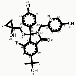 CC(C)(O)c1cc(F)c2c(c1)C(=O)N(Cc1ccc(C#N)cn1)[C@@]2(OCC1(O)CC1)c1ccc(Cl)cc1